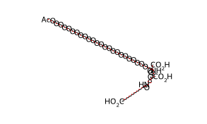 CC(=O)CCOCCOCCOCCOCCOCCOCCOCCOCCOCCOCCOCCOCCOCCOCCOCCOCCOCCOCCOCCOCCOCCOCCOCCOCCCC(=O)[C@H](CCC(=O)O)NC(=O)CC[C@H](CC(=O)[C@H]1CC[C@@H](CNC(=O)CCCCCCCCCCCCCCCCCCC(=O)O)CC1)C(=O)O